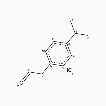 CC(C)c1ccc(CC=O)cc1.Cl